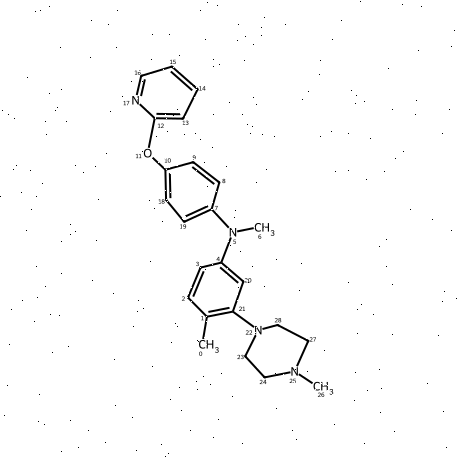 Cc1ccc(N(C)c2ccc(Oc3ccccn3)cc2)cc1N1CCN(C)CC1